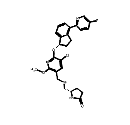 COc1nc(O[C@H]2CCc3c(-c4ccc(F)cn4)cccc32)c(Cl)cc1CNC[C@@H]1CCC(=O)N1